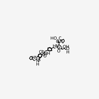 CC(N[C@@H](CCc1ccc(CNS(=O)(=O)c2cc3c(cc2Cl)N[C@H](CC2CCCC2)NS3)cc1)C(=O)OC[C@@H](O)CO)C(=O)N1CCCC1C(=O)O